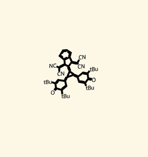 CC(C)(C)C1=CC(=C2C(=C3C=C(C(C)(C)C)C(=O)C(C(C)(C)C)=C3)C2=C2C(=C(C#N)C#N)c3ccccc3C2=C(C#N)C#N)C=C(C(C)(C)C)C1=O